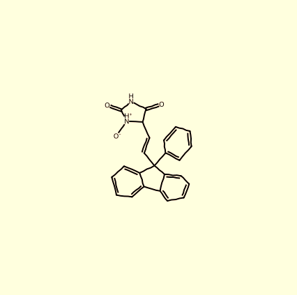 O=C1NC(=O)[NH+]([O-])C1C=CC1(c2ccccc2)c2ccccc2-c2ccccc21